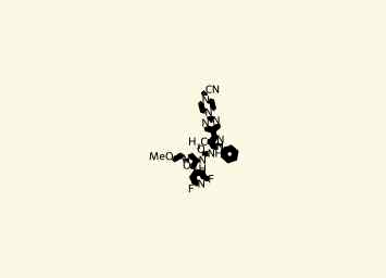 COCCN1C[C@@H](NC(=O)Nc2c(C)c(-c3cnc(N4CCN(CC#N)CC4)nc3)nn2-c2ccccc2)[C@H](c2cc(F)nc(F)c2)O1